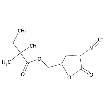 [C-]#[N+]C1CC(COC(=O)C(C)(C)CC)OC1=O